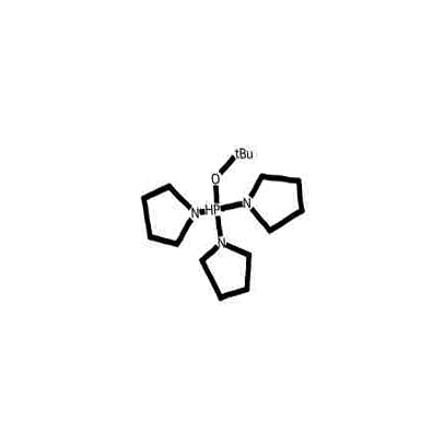 CC(C)(C)O[PH](N1CCCC1)(N1CCCC1)N1CCCC1